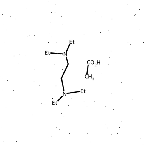 CC(=O)O.CCN(CC)CCN(CC)CC